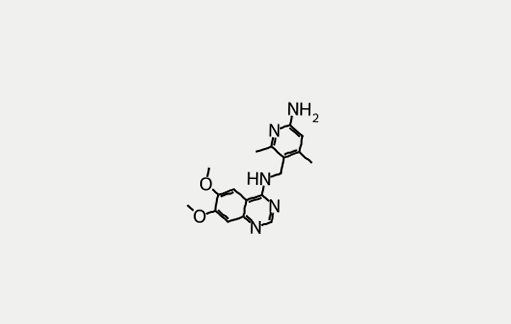 COc1cc2ncnc(NCc3c(C)cc(N)nc3C)c2cc1OC